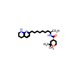 CC1(C)C[C@H](C(=O)N[C@@H](CCCCCCCc2ccc3c(n2)NCCC3)C(=O)O)CCO1